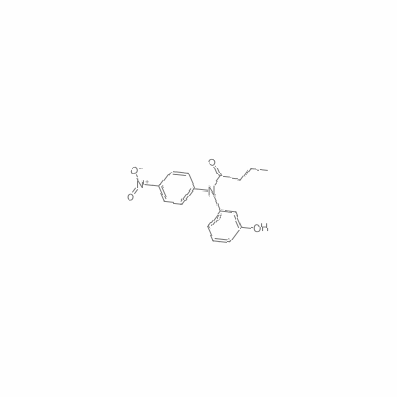 CCCC(=O)N(c1ccc([N+](=O)[O-])cc1)c1cccc(O)c1